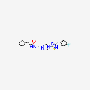 O=C(CCc1ccccc1)NCCN1CCN(c2nc(Cc3ccc(F)cc3)ns2)CC1